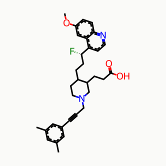 COc1ccc2nccc([C@@H](F)CCC3CCN(CC#Cc4cc(C)cc(C)c4)CC3CCC(=O)O)c2c1